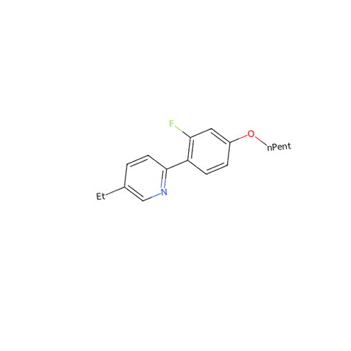 CCCCCOc1ccc(-c2ccc(CC)cn2)c(F)c1